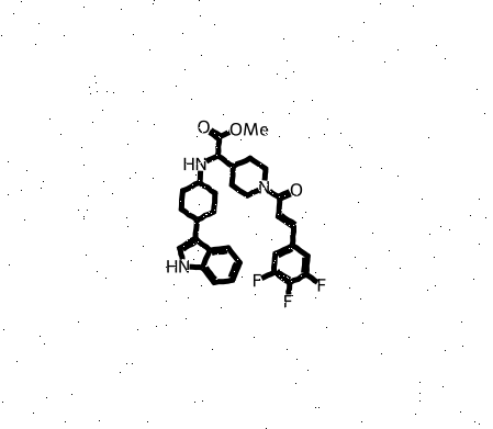 COC(=O)C(NC1CCC(c2c[nH]c3ccccc23)CC1)C1CCN(C(=O)C=Cc2cc(F)c(F)c(F)c2)CC1